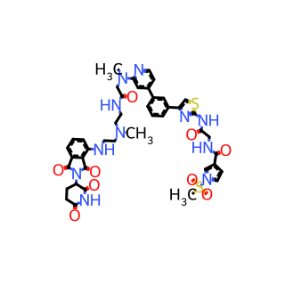 CN(CCNC(=O)CN(C)c1cc(-c2cccc(-c3csc(NC(=O)CNC(=O)c4ccn(S(C)(=O)=O)c4)n3)c2)ccn1)CCNc1cccc2c1C(=O)N(C1CCC(=O)NC1=O)C2=O